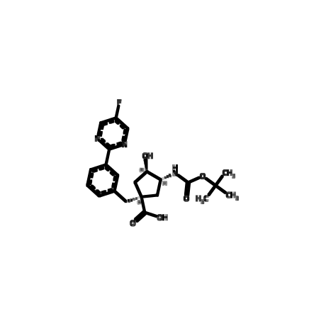 CC(C)(C)OC(=O)N[C@@H]1C[C@@](Cc2cccc(-c3ncc(F)cn3)c2)(C(=O)O)C[C@H]1O